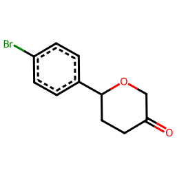 O=C1CCC(c2ccc(Br)cc2)OC1